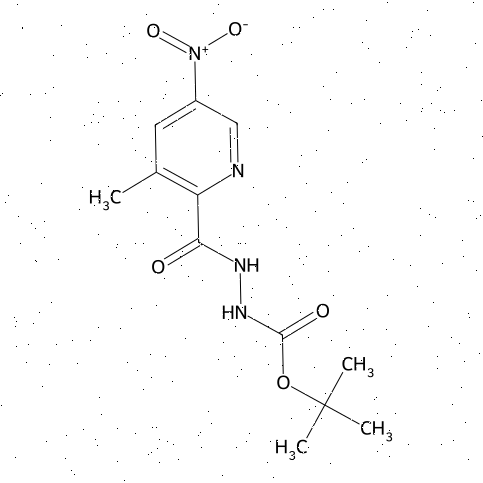 Cc1cc([N+](=O)[O-])cnc1C(=O)NNC(=O)OC(C)(C)C